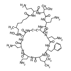 CCC(C)CCCCC(=O)NC(CCN)C(=O)NC(C(=O)NC(CCN)C(=O)NC1CCNC(=O)C(CCO)NC(=O)C(CCN)NC(=O)C(CCN)NC(=O)C(CC(C)C)NC(=O)C(Cc2ccccc2)NC(=O)C(CCN)NC1=O)C(C)O